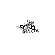 [2H]C([2H])([2H])N1CN([C@H](c2n[nH]c(=O)o2)[C@H](C)c2c(F)ccc(C)c2C)S(=O)(=O)c2ccc(Cl)cc21